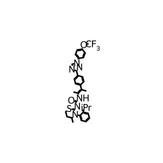 C/C(NC(=O)/N=C1\SCCC(C)N1c1ccccc1C(C)C)=C(/C)c1ccc(-c2ncn(-c3ccc(OC(F)(F)F)cc3)n2)cc1